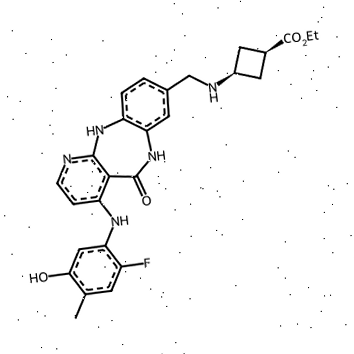 CCOC(=O)[C@H]1C[C@@H](NCc2ccc3c(c2)NC(=O)c2c(Nc4cc(O)c(C)cc4F)ccnc2N3)C1